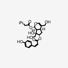 CC(C)CC(=O)O[C@@H]1OC=C(CO)[C@H]2C[C@H](OC(=O)/C=C\c3ccc(O)cc3)[C@](O)(CO)[C@@H]12